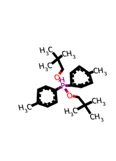 Cc1ccc([PH](OCC(C)(C)C)(OCC(C)(C)C)c2ccc(C)cc2)cc1